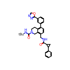 CC(C)(C)NC(=O)N1CCc2c(-c3cccc(-c4nnco4)c3)ccc(CNC(=O)C3CC3c3ccccc3)c2C1